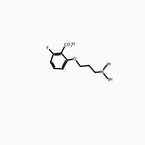 CC(C)N(CCCOc1cccc(F)c1C(=O)O)C(C)C